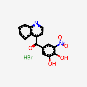 Br.O=C(c1cc(O)c(O)c([N+](=O)[O-])c1)c1ccnc2ccccc12